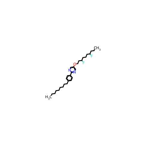 CCCCCCCCCc1ccc(-c2ncc(OCCC(F)CCCC(F)CCC)cn2)cc1